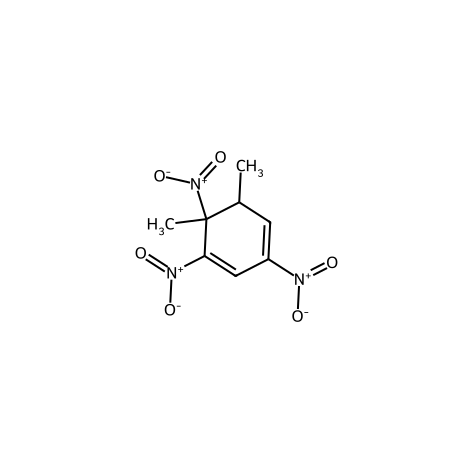 CC1C=C([N+](=O)[O-])C=C([N+](=O)[O-])C1(C)[N+](=O)[O-]